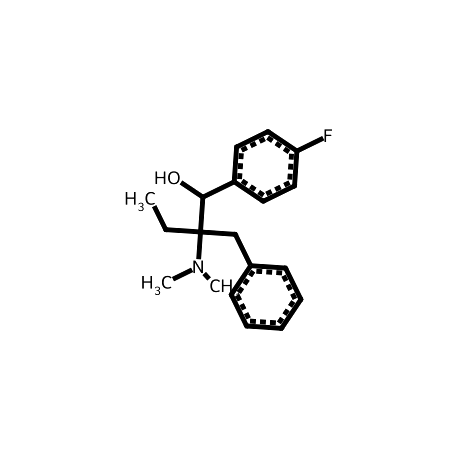 CCC(Cc1ccccc1)(C(O)c1ccc(F)cc1)N(C)C